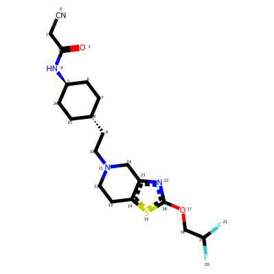 N#CCC(=O)N[C@H]1CC[C@H](CCN2CCc3sc(OCC(F)F)nc3C2)CC1